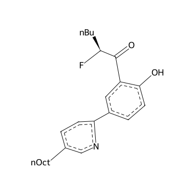 CCCCCCCCc1ccc(-c2ccc(O)c(C(=O)[C@@H](F)CCCC)c2)nc1